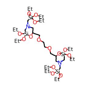 CCO[Si](CN1CC(COCCOCC2CN(C[Si](OCC)(OCC)OCC)C[Si](OCC)(OCC)O2)O[Si](OCC)(OCC)C1)(OCC)OCC